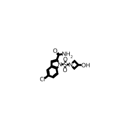 NC(=O)c1cc2cc(Cl)ccc2n1S(=O)(=O)N1CC(O)C1